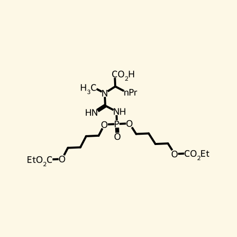 CCCC(C(=O)O)N(C)C(=N)NP(=O)(OCCCCOC(=O)OCC)OCCCCOC(=O)OCC